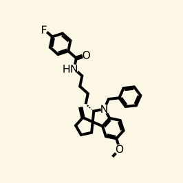 C=C1CCCC12c1cc(OC)ccc1N(Cc1ccccc1)[C@H]2CCCCNC(=O)c1ccc(F)cc1